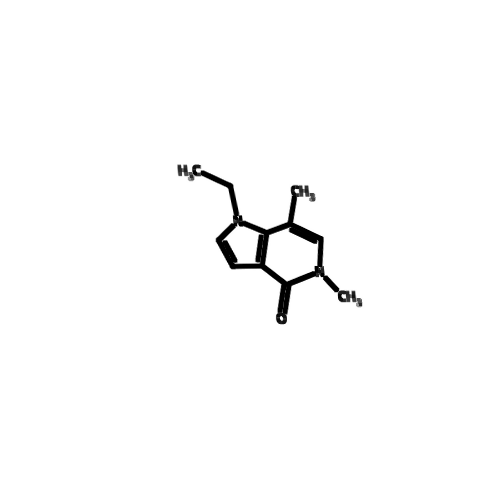 CCn1ccc2c(=O)n(C)cc(C)c21